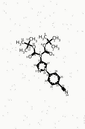 CC(C)(C)OC(=O)N(C(=O)OC(C)(C)C)c1cnn(-c2ccc(C#N)cc2)c1